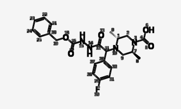 C[C@@H]1CN(C(=O)O)[C@@H](C)CN1C(C(=O)NNC(=O)OCc1ccccc1)c1ccc(F)cc1